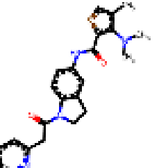 Cc1csc(C(=O)Nc2ccc3c(c2)CCN3C(=O)Cc2ccccn2)c1N(C)C